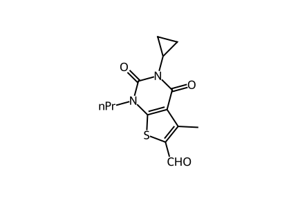 CCCn1c(=O)n(C2CC2)c(=O)c2c(C)c(C=O)sc21